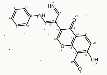 N=C/C(=C\Nc1ccccc1)c1coc2c(C=O)c(O)ccc2c1=O